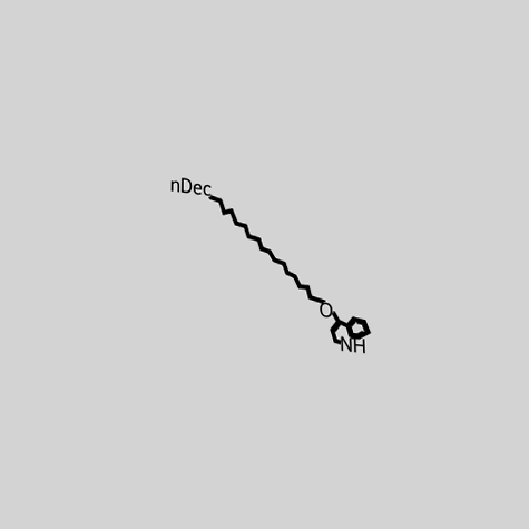 CCCCCCCCCCCCCCCCCCCCCCCCCCCCOCC1=CCNc2ccccc21